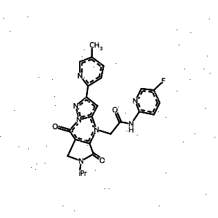 Cc1ccc(-c2cc3n(CC(=O)Nc4ccc(F)cn4)c4c(c(=O)n3n2)CN(C(C)C)C4=O)nc1